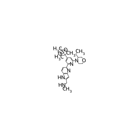 CCC1COCCN1c1cc(C(C)(C)S(C)(=O)=O)cc(-c2ccc3[nH]c(CNC)cc3n2)n1